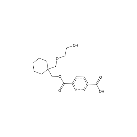 O=C(O)c1ccc(C(=O)OCC2(COCCO)CCCCC2)cc1